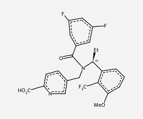 CC[C@@H](c1cccc(OC)c1C(F)(F)F)N(Cc1ccc(C(=O)O)nc1)C(=O)c1cc(F)cc(F)c1